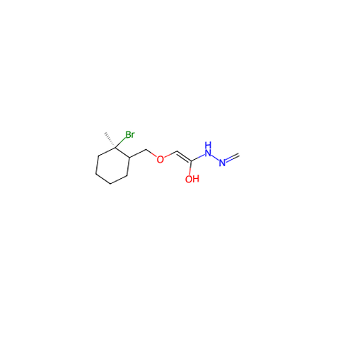 C=NN/C(O)=C/OCC1CCCC[C@@]1(C)Br